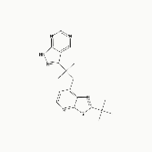 CC(C)(C)c1nc2c(CC(C)(C)c3n[nH]c4ncncc34)ccnc2s1